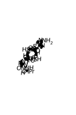 CC(C)C(=O)Nc1nc2c(ncn2[C@@H]2O[C@@H]3CO[P@@](=O)(S)O[C@H]4[C@@H](F)[C@H](n5cnc6c(N)ncnc65)O[C@@H]4CO[P@@](=O)(S)O[C@H]3[C@H]2F)c(=O)[nH]1